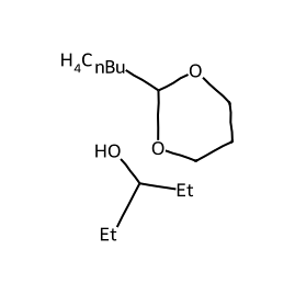 C.CCC(O)CC.CCCCC1OCCCO1